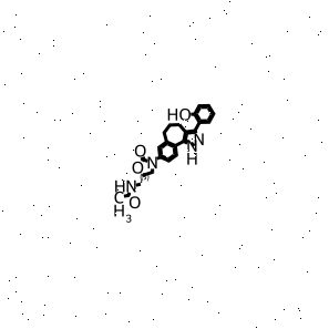 CC(=O)NC[C@H]1CN(c2ccc3c(c2)CCCc2c(-c4ccccc4O)n[nH]c2-3)C(=O)O1